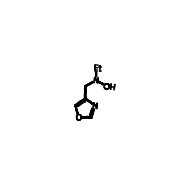 CCN(O)Cc1cocn1